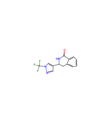 O=C1NC(c2cnn(C(F)(F)F)c2)Cc2ccccc21